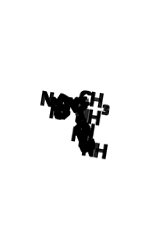 C[C@H]1C[C@@H](NCc2cnc(N3CCNCC3)nc2)CN(c2ccc(C#N)c3ncccc23)C1